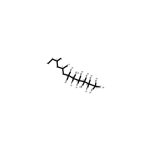 CCC(C)CC(I)CC(F)(F)C(F)(F)C(F)(F)C(F)(F)C(F)(F)C(F)(F)F